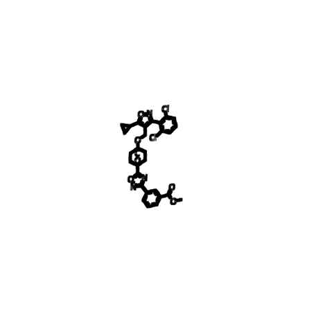 COC(=O)c1cccc(-c2noc(C34CCC(OCc5c(-c6c(Cl)cccc6Cl)noc5C5CC5)(CC3)CO4)n2)c1